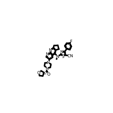 CN(c1nc(-c2ccc(F)cc2)c(C#N)s1)c1c2c(nc3ncc(N4CCN(C(=O)[C@@H]5CCOC5)CC4)cc13)CCC2